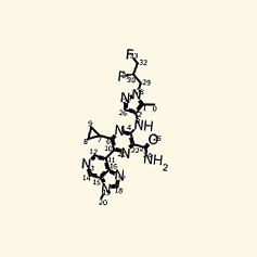 Cc1c(Nc2nc(C3CC3)c(-c3cncc4c3ncn4C)nc2C(N)=O)cnn1C[C@@H](F)CF